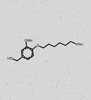 CCCCCCCCCCCCCCCCOc1ccc(CO)cc1OC